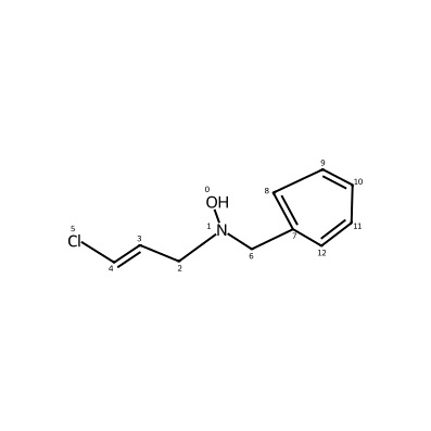 ON(CC=CCl)Cc1ccccc1